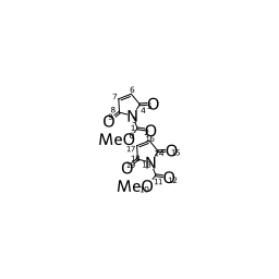 COC(=O)N1C(=O)C=CC1=O.COC(=O)N1C(=O)C=CC1=O